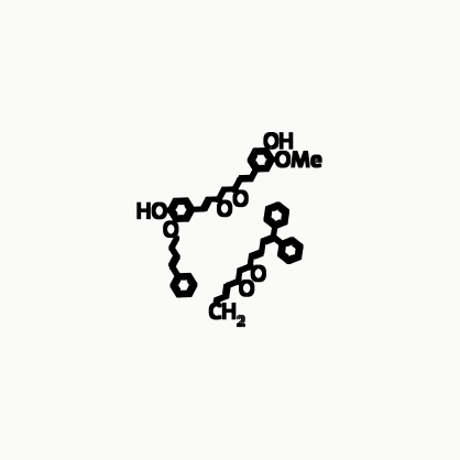 C=CC=CC(=O)CC(=O)C=CC=C(c1ccccc1)c1ccccc1.COc1cc(C=CC(=O)CC(=O)C=Cc2ccc(O)c(OCCC=Cc3ccccc3)c2)ccc1O